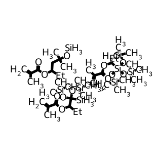 C=C(C)C(=O)OC(CC)C([SiH3])(O[Si](C)(C)C)O[Si](C)(C)C.C=C(C)C(=O)OC(CC)CC(C)(C)O[SiH3].C=C(C)C(=O)OC(CC)[Si](O[Si](C)(C)C)(O[Si](C)(C)C)O[Si](C)(C)C